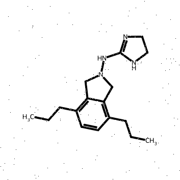 CCCc1ccc(CCC)c2c1CN(NC1=NCCN1)C2